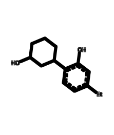 CCc1ccc(C2CCCC(O)C2)c(O)c1